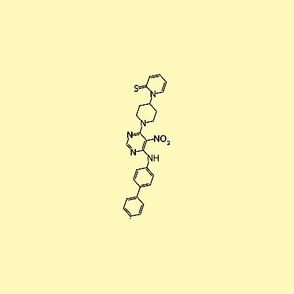 O=[N+]([O-])c1c(Nc2ccc(-c3cc[c]cc3)cc2)ncnc1N1CCC(n2ccccc2=S)CC1